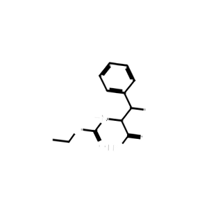 CCOC(=O)NC(C(=O)O)C(O)c1ccccc1